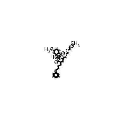 COCCOCOCC(CC(CCCCc1ccccc1)C(=O)NO)NC(=O)C1CCC(C)CC1